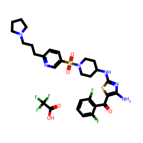 Nc1nc(NC2CCN(S(=O)(=O)c3ccc(CCCN4CCCC4)nc3)CC2)sc1C(=O)c1c(F)cccc1F.O=C(O)C(F)(F)F